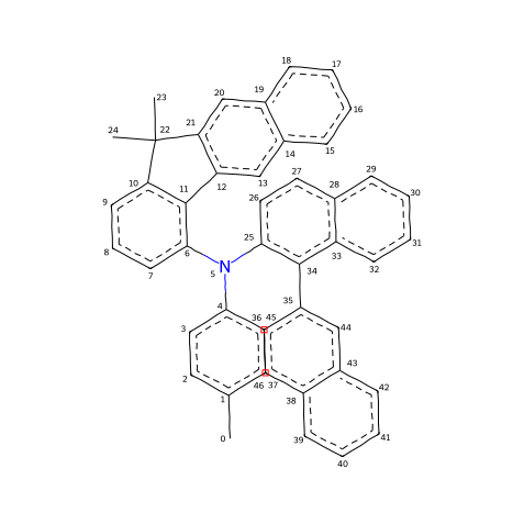 Cc1ccc(N(c2cccc3c2-c2cc4ccccc4cc2C3(C)C)c2ccc3ccccc3c2-c2ccc3ccccc3c2)cc1